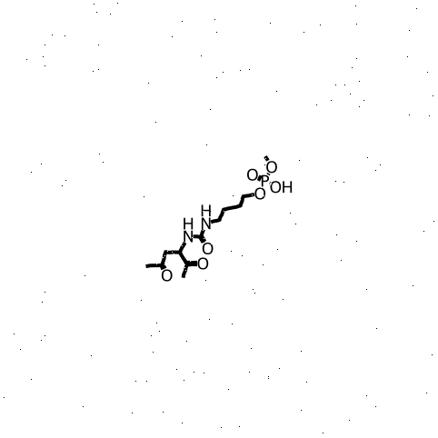 COP(=O)(O)OCCCCNC(=O)NC(CC(C)=O)C(C)=O